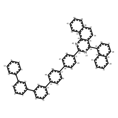 c1ccc(-c2cccc(-c3cccc(-c4ccc(-c5ccc(-c6nc(-c7cccc8ccccc78)c7ccc8ccccc8c7n6)cc5)cc4)c3)c2)cc1